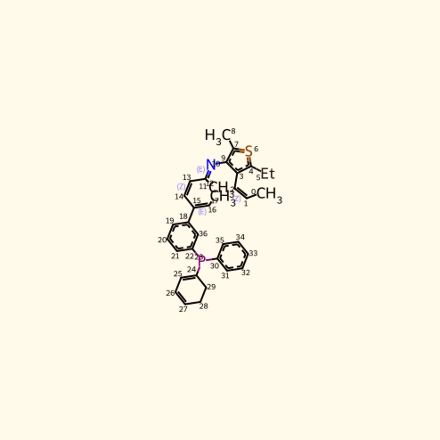 C/C=C\c1c(CC)sc(C)c1/N=C(C)/C=C\C(=C/C)c1cccc(P(C2=CC=CCC2)c2ccccc2)c1